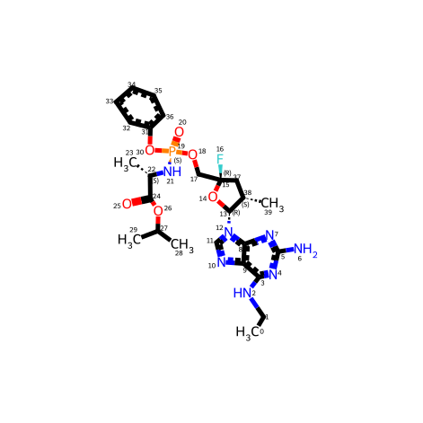 CCNc1nc(N)nc2c1ncn2[C@@H]1O[C@](F)(CO[P@@](=O)(N[C@@H](C)C(=O)OC(C)C)Oc2ccccc2)C[C@@H]1C